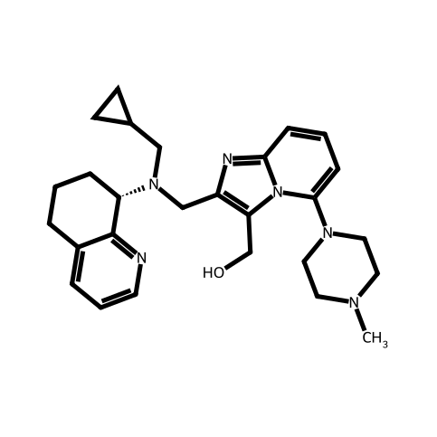 CN1CCN(c2cccc3nc(CN(CC4CC4)[C@H]4CCCc5cccnc54)c(CO)n23)CC1